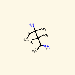 CCC(C)(N)C(C)(C)C(C)N